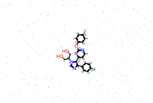 OCC(CO)n1cnc(-c2ccc(F)cc2)c1-c1ccnc(Oc2ccc(F)cc2)n1